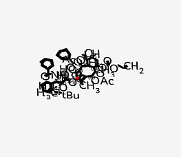 C=CCOC(=O)O[C@H]1C[C@H]2OC[C@@]2(OC(C)=O)[C@H]2[C@H](OC(=O)c3ccccc3)[C@]3(O)C[C@H](OC(=O)[C@H](O[Si](C)(C)C(C)(C)C)[C@@H](NC(=O)c4ccccc4)c4ccccc4)C(C)=C([C@@H](OC(C)=O)C(=O)[C@]12C)C3(C)C